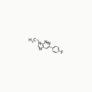 CCn1cnc2cc(-c3ccc(F)cc3)nnc21